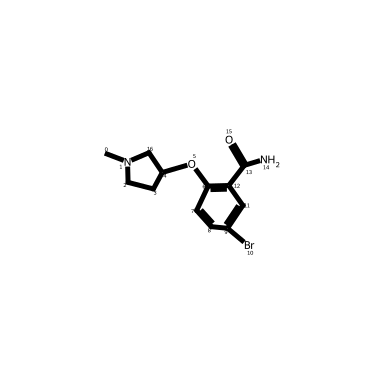 CN1CCC(Oc2ccc(Br)cc2C(N)=O)C1